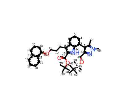 Cc1c(-c2cccc3c(CCCOc4cccc5ccccc45)c(C(=O)OC(C)(C)C)[nH]c23)c(CO[Si](C)(C)C(C)(C)C)nn1C